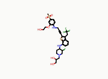 CS(=O)(=O)c1ccc(NCC#Cc2sc3c(NC4CCN(CC(O)CO)CC4F)cccc3c2CC(F)(F)F)c(OCCO)c1